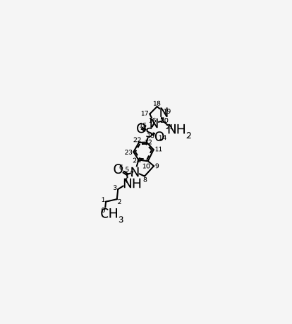 CCCCNC(=O)N1CCc2cc(S(=O)(=O)N3CCN=C3N)ccc21